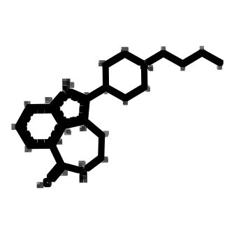 CCCCN1CCC(c2[nH]c3cccc4c3c2CCNC4=O)CC1